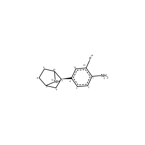 Nc1ccc([C@H]2CC3CCC2N3)cc1F